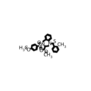 COC(=O)C1CN(C(=S)c2ccccc2C)c2ccccc2CN1S(=O)(=O)c1ccc(OC)cc1